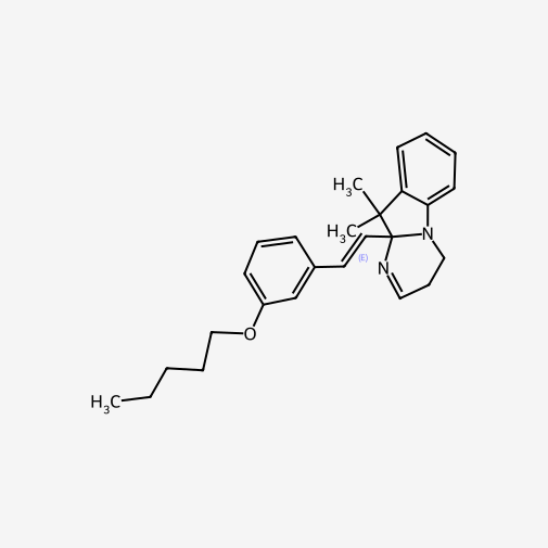 CCCCCOc1cccc(/C=C/C23N=CCCN2c2ccccc2C3(C)C)c1